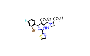 CCOC(=O)C1=C(CN2CCC2C(=O)O)NC(c2nccs2)=N[C@H]1c1ccc(F)cc1Br